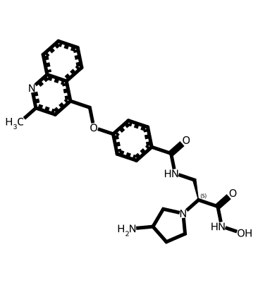 Cc1cc(COc2ccc(C(=O)NC[C@@H](C(=O)NO)N3CCC(N)C3)cc2)c2ccccc2n1